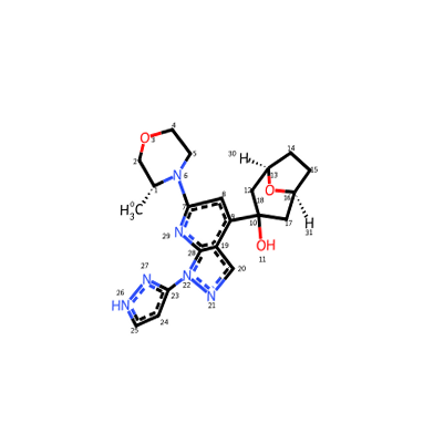 C[C@@H]1COCCN1c1cc(C2(O)C[C@H]3CC[C@@H](C2)O3)c2cnn(-c3cc[nH]n3)c2n1